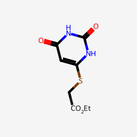 CCOC(=O)CSc1cc(=O)[nH]c(=O)[nH]1